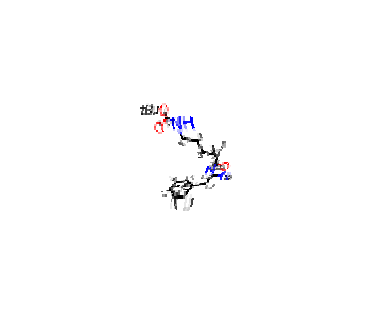 C[C@@H](CCCNC(=O)OC(C)(C)C)c1nc(CC23CCC(CC2)CC3)no1